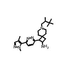 Cc1cnn(C)c1-c1ccc(C2C(N)CC23CCN(CC(C)C(C)(C)C)CC3)nn1